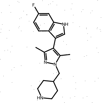 Cc1nn(CC2CCNCC2)c(C)c1-c1c[nH]c2cc(F)ccc12